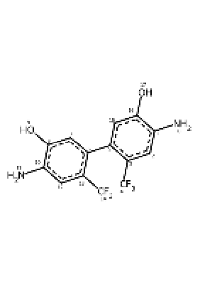 Nc1cc(C(F)(F)F)c(-c2cc(O)c(N)cc2C(F)(F)F)cc1O